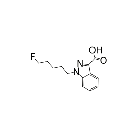 O=C(O)c1nn(CCCCCF)c2ccccc12